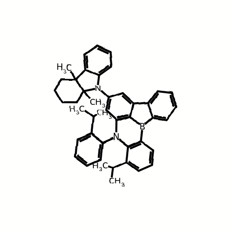 CC(C)c1ccccc1N1c2cc(N3c4ccccc4C4(C)CCCCC34C)cc3c2B(c2ccccc2-3)c2cccc(C(C)C)c21